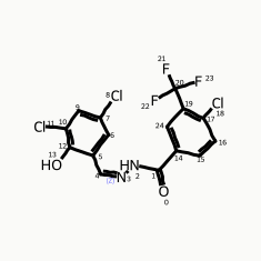 O=C(N/N=C\c1cc(Cl)cc(Cl)c1O)c1ccc(Cl)c(C(F)(F)F)c1